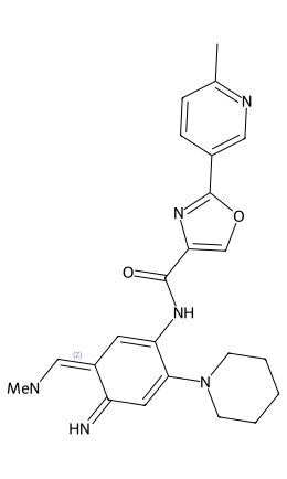 CN/C=C1/C=C(NC(=O)c2coc(-c3ccc(C)nc3)n2)C(N2CCCCC2)=CC1=N